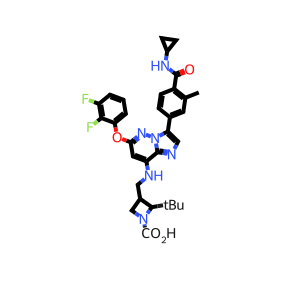 Cc1cc(-c2cnc3c(NCC4CN(C(=O)O)C4C(C)(C)C)cc(Oc4cccc(F)c4F)nn23)ccc1C(=O)NC1CC1